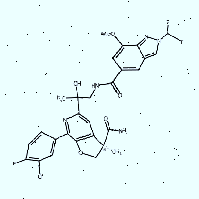 COc1cc(C(=O)NCC(O)(c2cc3c(c(-c4ccc(F)c(Cl)c4)n2)OC[C@]3(C)C(N)=O)C(F)(F)F)cc2cn(C(F)F)nc12